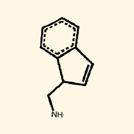 [NH]CC1C=Cc2ccccc21